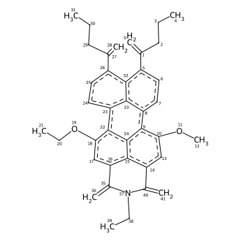 C=C(CCC)c1ccc2c3c(OC)cc4c5c(cc(OCC)c(c6ccc(C(=C)CCC)c1c26)c53)C(=C)N(CC)C4=C